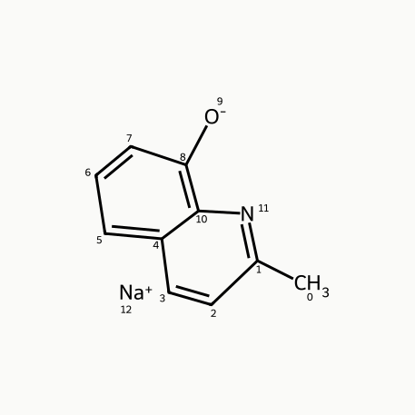 Cc1ccc2cccc([O-])c2n1.[Na+]